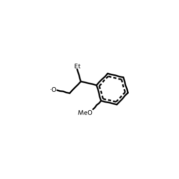 CCC(C[O])c1ccccc1OC